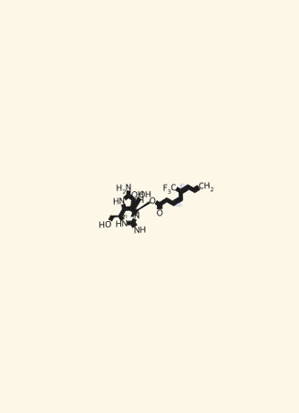 C=C/C=C(\C=C/CC(=O)O[C@H]1CN2C(=N)N[C@@H](CO)C3NC(N)NC32C1(O)O)C(F)(F)F